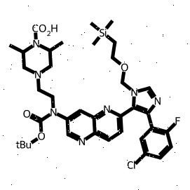 CC1CN(CCN(C(=O)OC(C)(C)C)c2cnc3ccc(-c4c(-c5cc(Cl)ccc5F)ncn4COCC[Si](C)(C)C)nc3c2)CC(C)N1C(=O)O